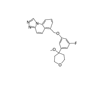 COC1(c2cc(F)cc(OCc3cccc4c3ccc3nncn34)c2)CCOCC1